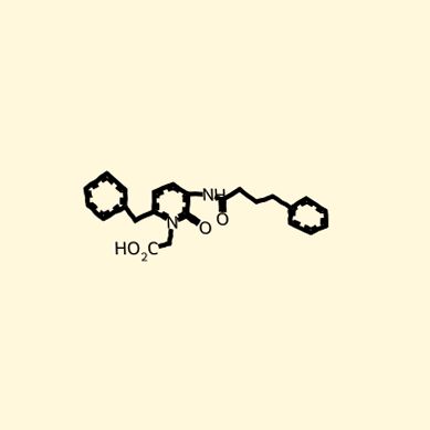 O=C(O)Cn1c(Cc2ccccc2)ccc(NC(=O)CCCc2ccccc2)c1=O